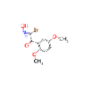 COc1ccc(OC)c(C(=O)/C(Br)=N/O)c1